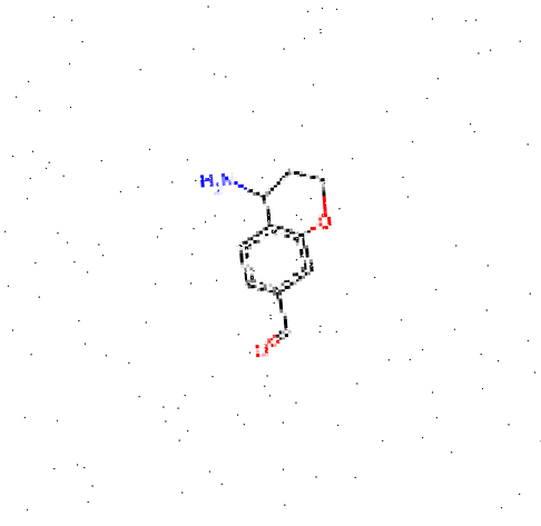 NC1CCOc2cc(C=O)ccc21